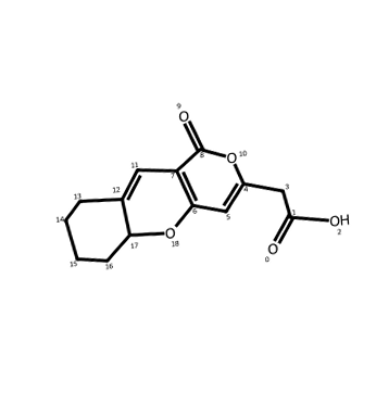 O=C(O)Cc1cc2c(c(=O)o1)C=C1CCCCC1O2